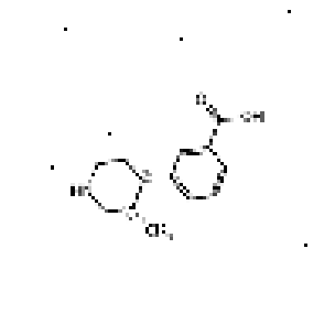 C[C@@H]1CNCC[C@@H]1c1cccc(C(=O)O)c1